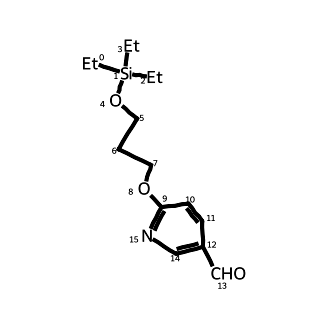 CC[Si](CC)(CC)OCCCOc1ccc(C=O)cn1